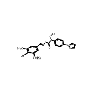 CCOC(C(=O)N/N=C/c1cc(OC)c(Br)c(OC)c1)c1ccc(-n2cccn2)cc1